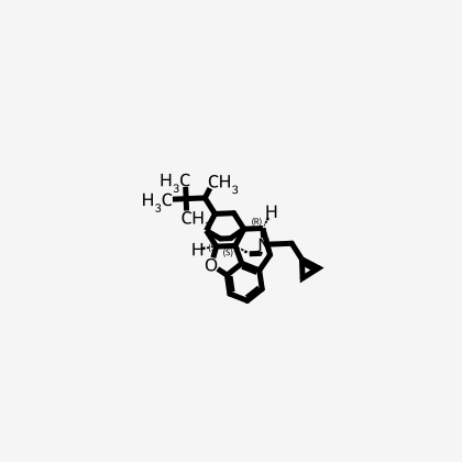 CC(C1CC23CCC1[C@@H]1Oc4cccc5c4[C@@]12CCN(CC1=CC1)[C@@H]3C5)C(C)(C)C